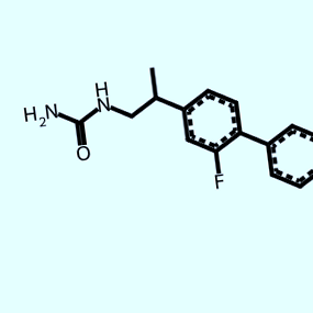 CC(CNC(N)=O)c1ccc(-c2ccccc2)c(F)c1